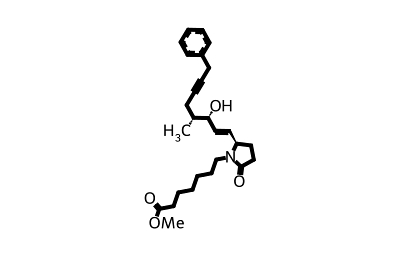 COC(=O)CCCCCCN1C(=O)CC[C@@H]1/C=C/[C@@H](O)[C@H](C)CC#CCc1ccccc1